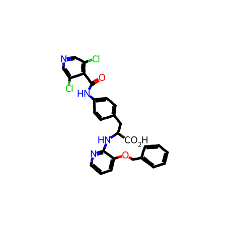 O=C(Nc1ccc(CC(Nc2ncccc2OCc2ccccc2)C(=O)O)cc1)c1c(Cl)cncc1Cl